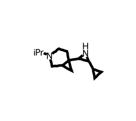 CC(C)N1CCC2(C3NC3C3CC3)CC2C1